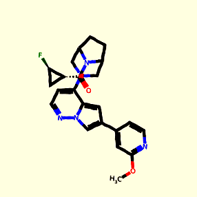 COc1cc(-c2cc3c(N4CC5CCC(C4)N5C(=O)[C@@H]4C[C@H]4F)ccnn3c2)ccn1